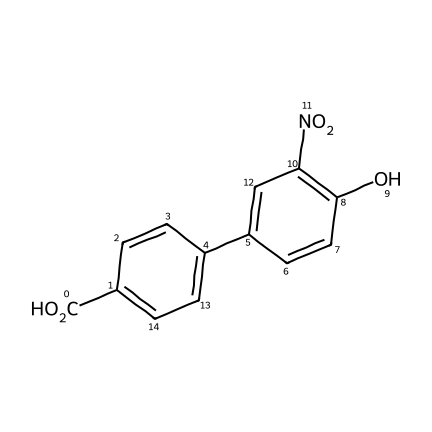 O=C(O)c1ccc(-c2ccc(O)c([N+](=O)[O-])c2)cc1